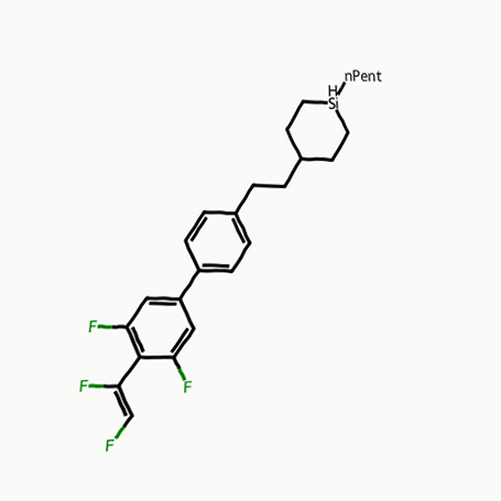 CCCCC[SiH]1CCC(CCc2ccc(-c3cc(F)c(C(F)=CF)c(F)c3)cc2)CC1